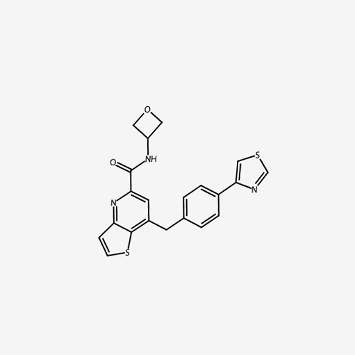 O=C(NC1COC1)c1cc(Cc2ccc(-c3cscn3)cc2)c2sccc2n1